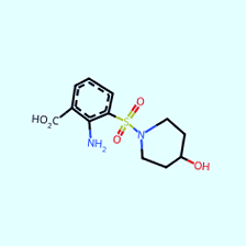 Nc1c(C(=O)O)cccc1S(=O)(=O)N1CCC(O)CC1